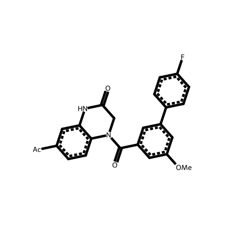 COc1cc(C(=O)N2CC(=O)Nc3cc(C(C)=O)ccc32)cc(-c2ccc(F)cc2)c1